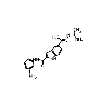 C=C(N)N/N=C(\C)c1ccc2[nH]c(C(=O)Nc3cccc(N)c3)cc2c1